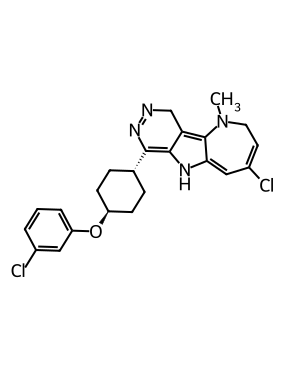 CN1CC=C(Cl)C=c2[nH]c3c(c21)CN=NC=3[C@H]1CC[C@H](Oc2cccc(Cl)c2)CC1